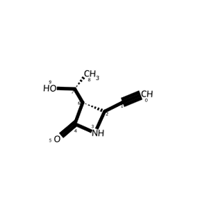 C#CC1NC(=O)[C@@H]1[C@@H](C)O